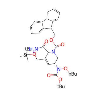 CCCCON(C(=O)OC(C)(C)C)[C@@H]1C=C(CO[Si](C)(C)C(C)(C)C)C(C(N)=O)N(C(=O)OCC2c3ccccc3-c3ccccc32)C1